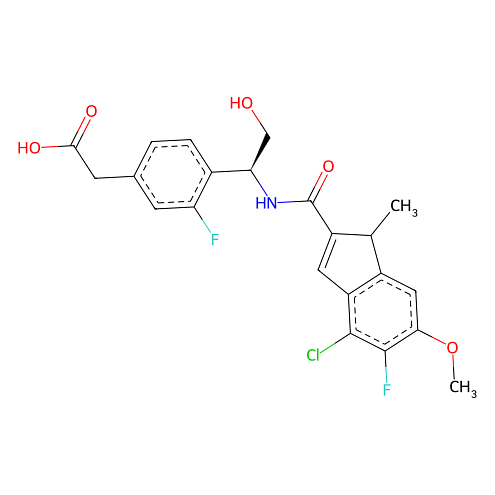 COc1cc2c(c(Cl)c1F)C=C(C(=O)N[C@H](CO)c1ccc(CC(=O)O)cc1F)C2C